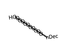 CCCCCCCCCCCCCCCCOCCOCCOCCOCCOCCOCCOCCOCCOCCOCCO